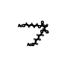 CC(=O)OCCCCCOC(=O)C(C)C(=O)OCCCCCOC(C)=O